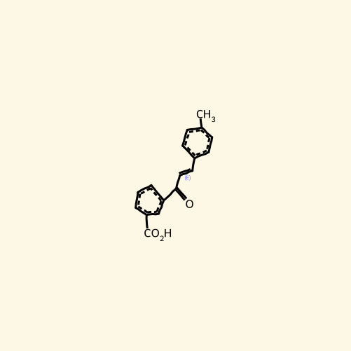 Cc1ccc(/C=C/C(=O)c2cccc(C(=O)O)c2)cc1